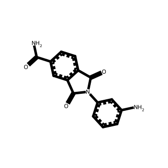 NC(=O)c1ccc2c(c1)C(=O)N(c1cccc(N)c1)C2=O